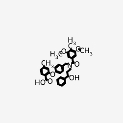 COc1cc(C(=O)N(CCC(O)c2ccccc2)Cc2ccc(Oc3cc(C)ccc3C(=O)O)cc2)cc(OC)c1C